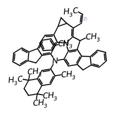 C/C=C\C1=C2C(C)c3c4c(cc(N(c5cc6c(cc5C)C(C)(C)CCC6(C)C)c5c(C)ccc6c5Cc5ccccc5-6)c3N2c2ccccc2C2CC12)Cc1ccccc1-4